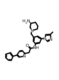 Cc1cn(-c2cc(CN3CCC[C@H](N)C3)cc(NC(=O)Cc3ccc(-c4ccccc4)cn3)c2)cn1